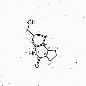 O=C1Nc2cc(CO)ccc2C2CCCC12